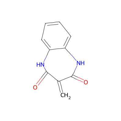 C=C1C(=O)Nc2ccccc2NC1=O